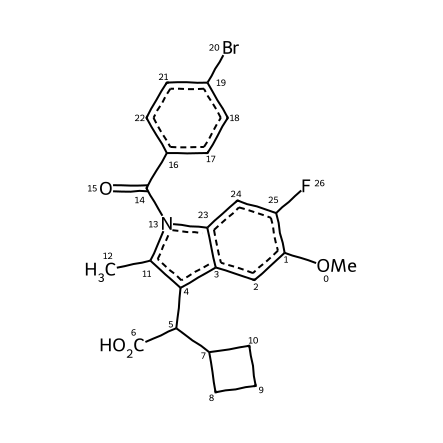 COc1cc2c(C(C(=O)O)C3CCC3)c(C)n(C(=O)c3ccc(Br)cc3)c2cc1F